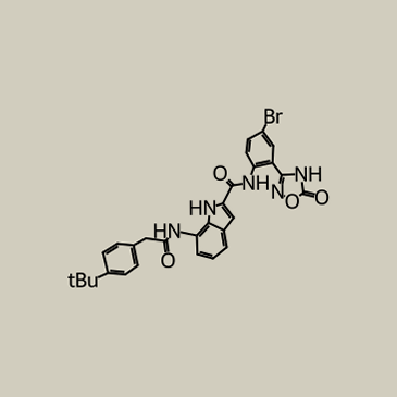 CC(C)(C)c1ccc(CC(=O)Nc2cccc3cc(C(=O)Nc4ccc(Br)cc4-c4noc(=O)[nH]4)[nH]c23)cc1